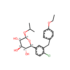 CCOc1ccc(Cc2cc([C@@H]3O[C@H](OC(C)C)[C@@H](O)[C@H](O)[C@H]3O)ccc2Cl)cc1